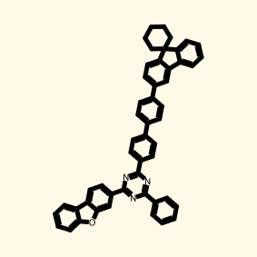 c1ccc(-c2nc(-c3ccc(-c4ccc(-c5ccc6c(c5)-c5ccccc5C65CCCCC5)cc4)cc3)nc(-c3ccc4c(c3)oc3ccccc34)n2)cc1